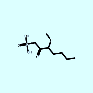 CCCCC(OC)C(=O)CP(=O)(O)O